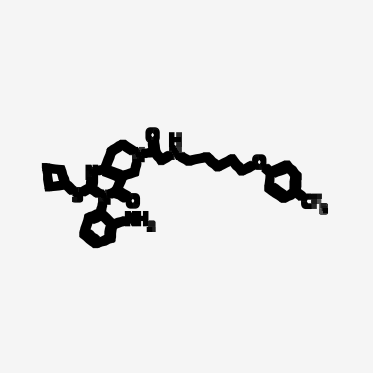 Nc1ccccc1-n1c(SC2CCC2)nc2c(c1=O)CN(C(=O)CNCCCCCOc1ccc(C(F)(F)F)cc1)CC2